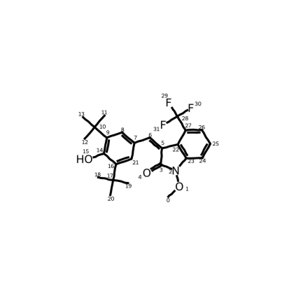 CON1C(=O)C(=Cc2cc(C(C)(C)C)c(O)c(C(C)(C)C)c2)c2c1cccc2C(F)(F)F